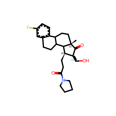 C[C@]12CCC3c4ccc(F)cc4CCC3C1[C@H](CCC(=O)N1CCCC1)/C(=C/O)C2=O